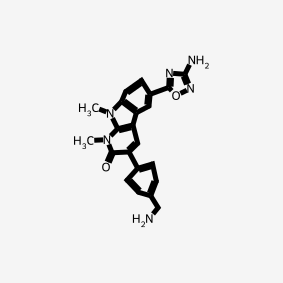 Cn1c(=O)c(-c2ccc(CN)cc2)cc2c3cc(-c4nc(N)no4)ccc3n(C)c21